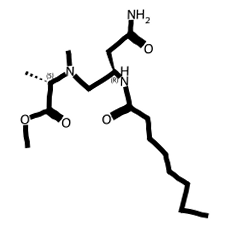 CCCCCCCC(=O)N[C@H](CC(N)=O)CN(C)[C@@H](C)C(=O)OC